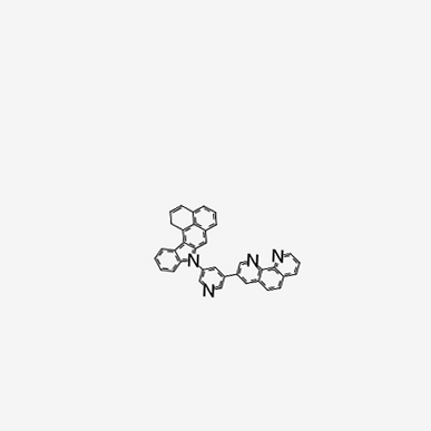 C1=Cc2cccc3cc4c(c(c23)C1)c1ccccc1n4-c1cncc(-c2cnc3c(ccc4cccnc43)c2)c1